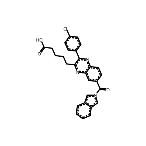 O=C(O)CCCCc1nc2cc(C(=O)n3cc4ccccc4c3)ccc2nc1-c1ccc(Cl)cc1